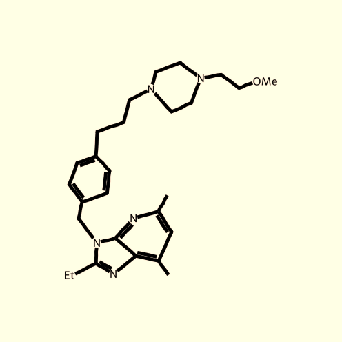 CCc1nc2c(C)cc(C)nc2n1Cc1ccc(CCCN2CCN(CCOC)CC2)cc1